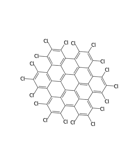 Clc1c(Cl)c2c3c(Cl)c(Cl)c(Cl)c4c5c(Cl)c(Cl)c(Cl)c6c7c(Cl)c(Cl)c(Cl)c8c9c(Cl)c(Cl)c(Cl)c%10c%11c(Cl)c(Cl)c(Cl)c%12c(c1Cl)c2c1c(c34)c(c56)c(c78)c(c%109)c1c%12%11